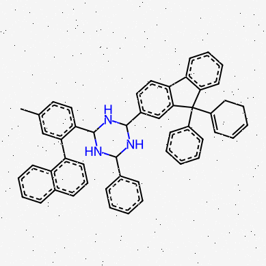 Cc1ccc(C2NC(c3ccccc3)NC(c3ccc4c(c3)C(C3=CC=CCC3)(c3ccccc3)c3ccccc3-4)N2)c(-c2cccc3ccccc23)c1